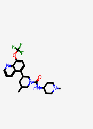 CC1CC(c2ccc(OC(F)(F)F)c3ncccc23)CN(C(=O)NC2CCN(C)CC2)C1